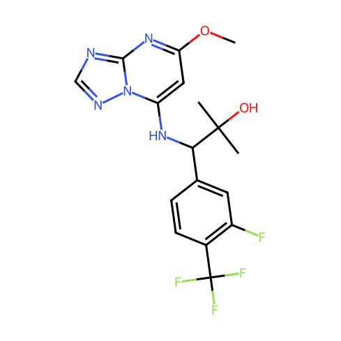 COc1cc(NC(c2ccc(C(F)(F)F)c(F)c2)C(C)(C)O)n2ncnc2n1